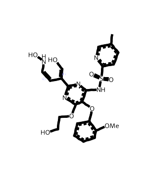 COc1ccccc1Oc1c(NS(=O)(=O)c2ccc(C)cn2)nc(C(/C=C\NO)=C/O)nc1OCCO